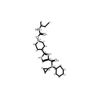 CCC(C)NC(=O)ON1CCC(c2nc(C(=O)N(C3CCCCC3)C3CC3)cs2)CC1